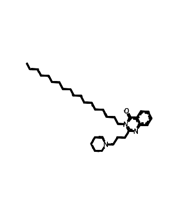 CCCCCCCCCCCCCCCCCCn1c(CCCN2CCCCC2)nc2ccccc2c1=O